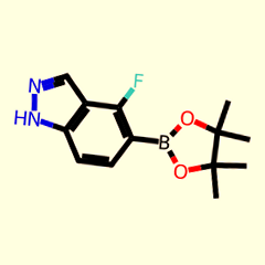 CC1(C)OB(c2ccc3[nH]ncc3c2F)OC1(C)C